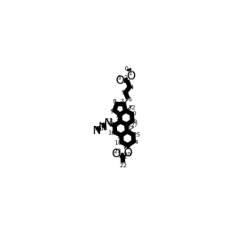 COC(=O)CCC[C@H]1CCC2C3C(N=[N+]=[N-])CC4C[C@H](OC(C)=O)CC[C@]4(C)C3CC[C@@]21C